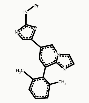 Cc1cccc(C)c1-c1cc(-c2cnc(NC(C)C)s2)cn2ccnc12